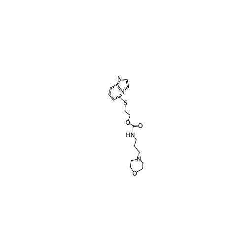 O=C(NCCCN1CCOCC1)OCCSc1cccc2nccn12